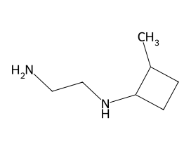 CC1CCC1NCCN